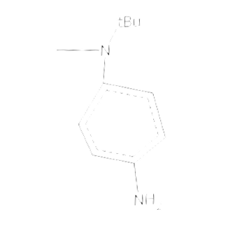 CN(c1ccc(N)cc1)C(C)(C)C